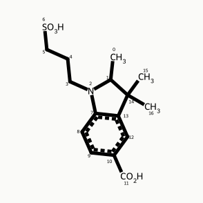 CC1N(CCCS(=O)(=O)O)c2ccc(C(=O)O)cc2C1(C)C